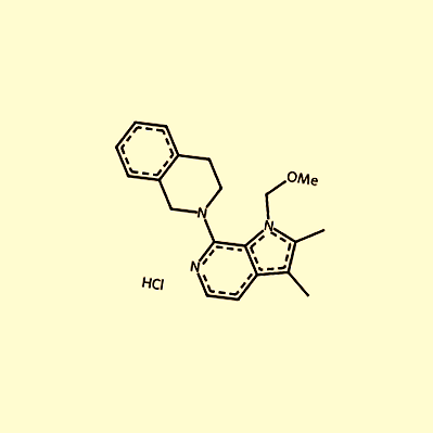 COCn1c(C)c(C)c2ccnc(N3CCc4ccccc4C3)c21.Cl